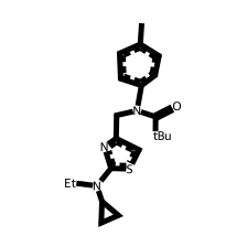 CCN(c1nc(CN(C(=O)C(C)(C)C)c2ccc(C)cc2)cs1)C1CC1